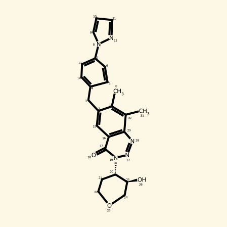 Cc1c(Cc2ccc(-n3cccn3)cc2)cc2c(=O)n([C@H]3CCOC[C@@H]3O)nnc2c1C